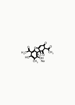 CC(=O)c1c(O)c(C)c(O)c2c1OC1=CC(=O)C(C(C)=O)C(=O)C12C.[Na]